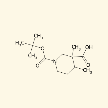 CC1CCN(C(=O)OC(C)(C)C)C[C@@]1(C)C(=O)O